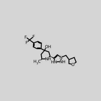 C[C@H]1CC(O)(c2ccc(C(F)(F)F)cc2)C[C@@H](C2=CN(CC3CCOC3)NN2)N1